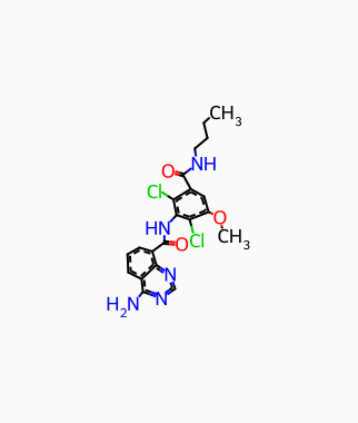 CCCCNC(=O)c1cc(OC)c(Cl)c(NC(=O)c2cccc3c(N)ncnc23)c1Cl